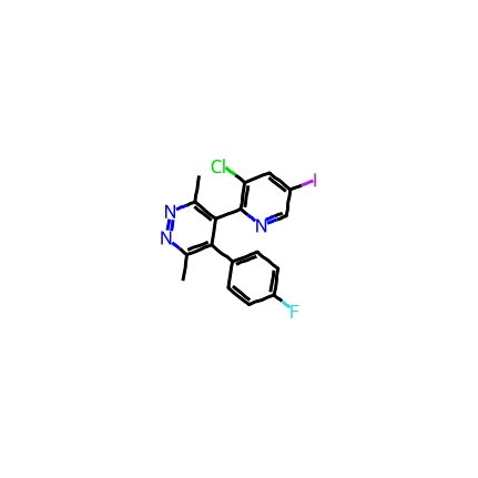 Cc1nnc(C)c(-c2ncc(I)cc2Cl)c1-c1ccc(F)cc1